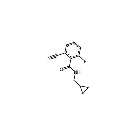 N#Cc1cccc(F)c1C(=O)NCC1CC1